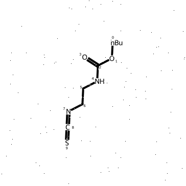 CCCCOC(=O)NCCN=C=S